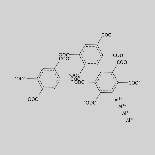 O=C([O-])c1cc(C(=O)[O-])c(C(=O)[O-])cc1C(=O)[O-].O=C([O-])c1cc(C(=O)[O-])c(C(=O)[O-])cc1C(=O)[O-].O=C([O-])c1cc(C(=O)[O-])c(C(=O)[O-])cc1C(=O)[O-].[Al+3].[Al+3].[Al+3].[Al+3]